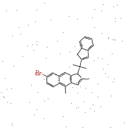 CC1=Cc2c(cc3cc(Br)ccc3c2C)C1C(C)(C)C1=Cc2ccccc2C1